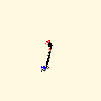 CC(C)CNC(=S)C=CC=CCCCCCCOCc1ccc2c(c1)OCO2